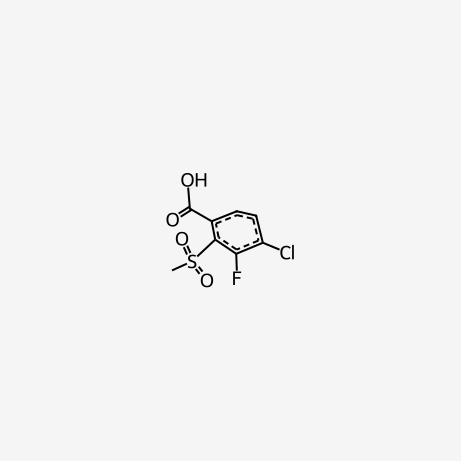 CS(=O)(=O)c1c(C(=O)O)ccc(Cl)c1F